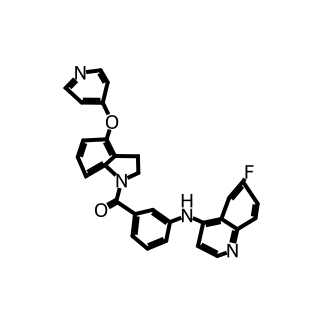 O=C(c1cccc(Nc2ccnc3ccc(F)cc23)c1)N1CCc2c(Oc3ccncc3)cccc21